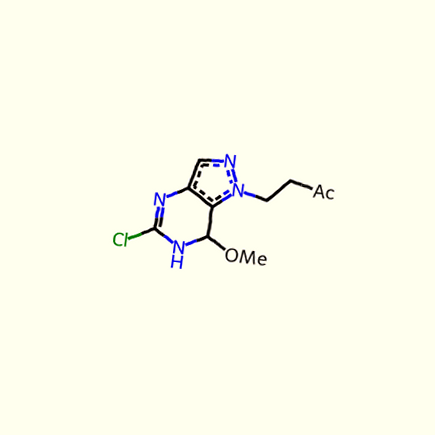 COC1NC(Cl)=Nc2cnn(CCC(C)=O)c21